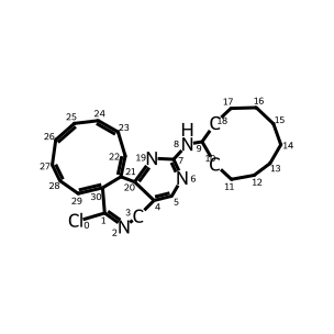 ClC1=NCc2cnc(NC3CCCCCCCCC3)nc2-c2ccccccccc21